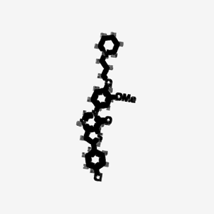 COc1cc(-n2cnc3c(c2=O)SC(c2ccc(Cl)cc2)C3)ccc1OCCCN1CCCCC1